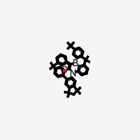 CC(C)(C)c1ccc2c(c1)B1c3c(cccc3C2(C)C)N(c2cc3c(cc2-c2ccccc2)C(C)(C)CC3(C)C)c2oc3c(C(C)(C)C)cccc3c21